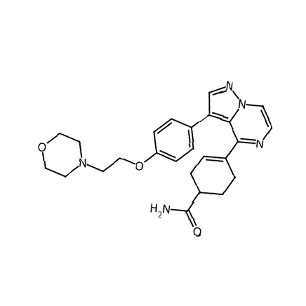 NC(=O)C1CC=C(c2nccn3ncc(-c4ccc(OCCN5CCOCC5)cc4)c23)CC1